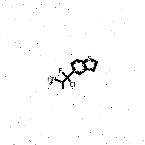 CNC(C)C(F)(Cl)c1ccc2sccc2c1